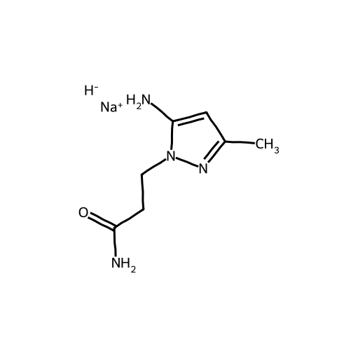 Cc1cc(N)n(CCC(N)=O)n1.[H-].[Na+]